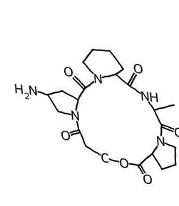 CC1NC(=O)C2CCCCN2C(=O)C2CC(N)CN2C(=O)CCOC(=O)C2CCCN2C1=O